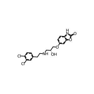 O=c1[nH]c2ccc(OC[C@H](O)CNCCc3ccc(Cl)c(Cl)c3)cc2o1